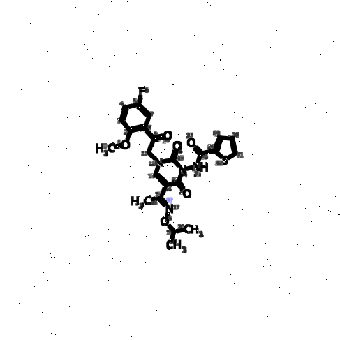 COc1ccc(F)cc1C(=O)Cn1cc(/C(C)=N/OC(C)C)c(=O)n(NC(=O)c2cccs2)c1=O